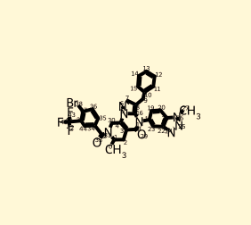 CC1Cc2c(n3ncc(Cc4ccccc4)c3n(-c3ccc4c(c3)nnn4C)c2=O)CN1C(=O)c1ccc(Br)c(C(F)(F)F)c1